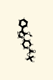 COc1c(-c2ccccc2)ncn1C1CCN(C(=O)OC(C)(C)C)CC1